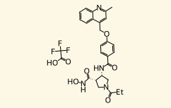 CCC(=O)N1C[C@H](C(=O)NO)[C@H](NC(=O)c2ccc(OCc3cc(C)nc4ccccc34)cc2)C1.O=C(O)C(F)(F)F